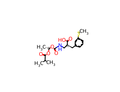 CSc1cccc(C[C@@H](CNC(=O)O[C@@H](C)OC(=O)C(C)C)C(=O)O)c1